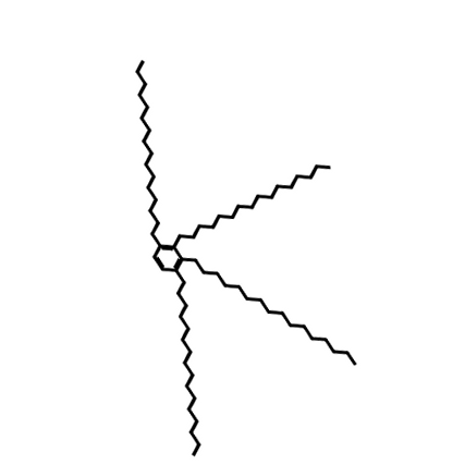 CCCCCCCCCCCCCCCCc1ccc(CCCCCCCCCCCCCCCC)c(CCCCCCCCCCCCCCCC)c1CCCCCCCCCCCCCCCC